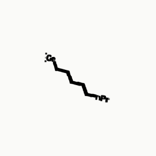 CCCCCCC[CH2][Ge]